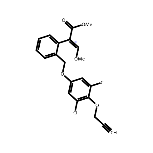 C#CCOc1c(Cl)cc(OCc2ccccc2/C(=C\OC)C(=O)OC)cc1Cl